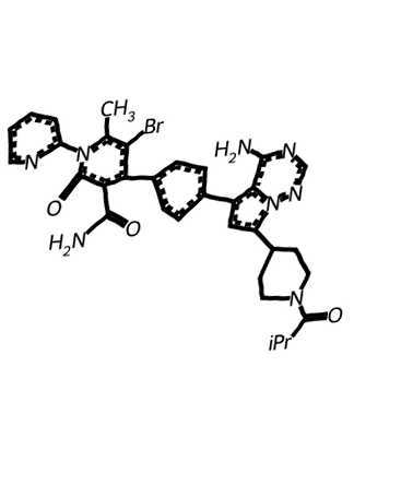 Cc1c(Br)c(-c2ccc(-c3cc(C4CCN(C(=O)C(C)C)CC4)n4ncnc(N)c34)cc2)c(C(N)=O)c(=O)n1-c1ccccn1